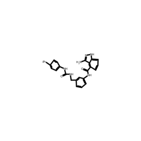 CC(C)c1ccc(NC(=O)NCc2cccc(NC(=O)c3cccc4[nH]nc(N)c34)c2)cc1